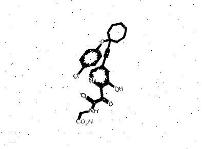 O=C(O)CNC(=O)C(=O)c1ncc(C#CC2(Oc3ccc(Cl)cc3)CCCCCC2)cc1O